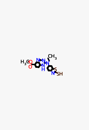 CCCN(/C(=N/C#N)Nc1ccc(C(=O)OC)cc1)c1ccc2nc(S)sc2c1